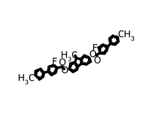 Cc1ccc(-c2ccc(C(=O)Oc3ccc4c(c3)C(C)c3cc(OC(=O)c5ccc(-c6ccc(C)cc6)cc5F)ccc3-4)c(F)c2)cc1